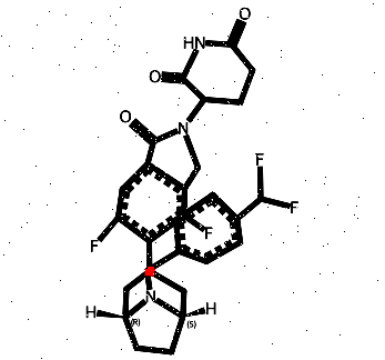 O=C1CCC(N2Cc3c(cc(F)c(C4C[C@H]5CC[C@@H](C4)N5Cc4ccc(C(F)F)cc4)c3F)C2=O)C(=O)N1